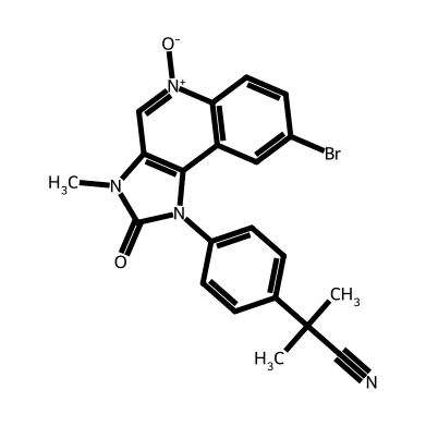 Cn1c(=O)n(-c2ccc(C(C)(C)C#N)cc2)c2c3cc(Br)ccc3[n+]([O-])cc21